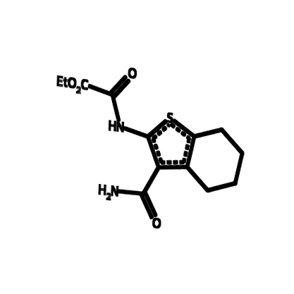 CCOC(=O)C(=O)Nc1sc2c(c1C(N)=O)CCCC2